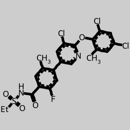 CCS(=O)(=O)NC(=O)c1cc(C)c(-c2cnc(Oc3c(C)cc(Cl)cc3Cl)c(Cl)c2)cc1F